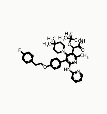 Cc1nc(Nc2ccccn2)c(-c2ccc(OCCc3ccc(F)cc3)cc2)c(N2CCC(C)(C)CC2)c1C(OC(C)(C)C)C(=O)O